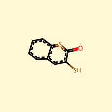 O=c1sc2ccccc2cc1S